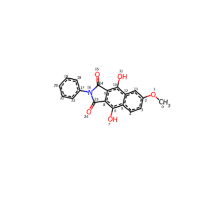 COc1ccc2c(O)c3c(c(O)c2c1)C(=O)N(c1ccccc1)C3=O